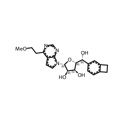 COCCc1ncnc2c1ccn2[C@@H]1O[C@H]([C@H](O)c2ccc3c(c2)CC3)[C@@H](O)[C@H]1O